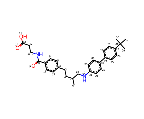 CC(CCc1ccc(C(=O)NCCC(=O)O)cc1)CNc1ccc(-c2ccc(C(C)(C)C)cc2)cc1